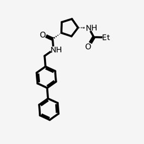 CCC(=O)N[C@H]1CC[C@@H](C(=O)NCc2ccc(-c3ccccc3)cc2)C1